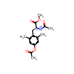 COC(=O)[C@H](Cc1c(C)cc(OC(C)=O)cc1C)NC(C)=O